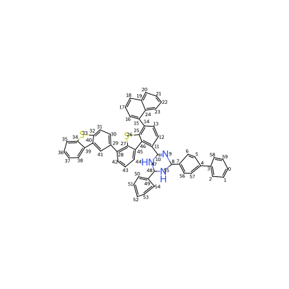 c1ccc(-c2ccc(C3N=C(c4ccc(-c5cccc6ccccc56)c5sc6c(-c7ccc8sc9ccccc9c8c7)cccc6c45)NC(c4ccccc4)N3)cc2)cc1